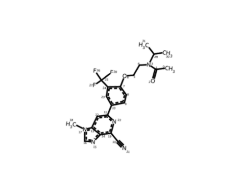 CC(=O)N(CCOc1ccc(-c2cc3c(ncn3C)c(C#N)n2)cc1C(F)(F)F)C(C)C